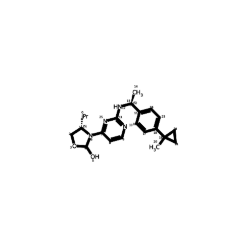 CC(C)[C@H]1COC(O)N1c1ccnc(N[C@@H](C)c2ccc(C3(C)CC3)cc2)n1